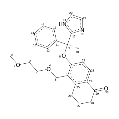 COCCOCc1c(O[C@@](C)(c2ccccc2)c2ncc[nH]2)ccc2c1CCCC2=O